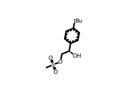 CC(C)(C)c1ccc([C@@H](O)COS(C)(=O)=O)cc1